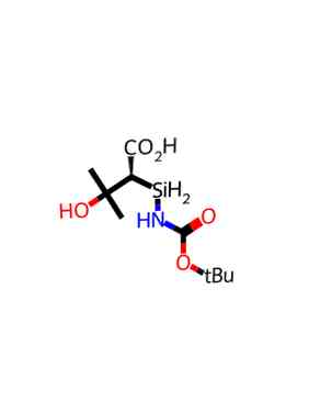 CC(C)(C)OC(=O)N[SiH2][C@H](C(=O)O)C(C)(C)O